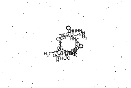 CCCC[C@@H](C(=O)N[C@H]1CSSC[C@@H](C(C)=O)NC(=O)[C@H](Cc2c[nH]c3ccccc23)NC(=O)[C@H](CCCNC(=N)N)NC(=O)[C@@H](Cc2ccccc2)NC(=O)[C@H](Cc2cnc[nH]2)NC(=O)[C@H](CCC(=O)O)NC1=O)N1C(=O)CNC1=O